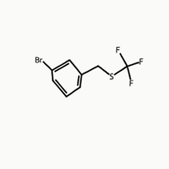 FC(F)(F)SCc1cccc(Br)c1